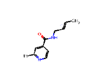 C/C=C/CNC(=O)c1ccnc(CC)c1